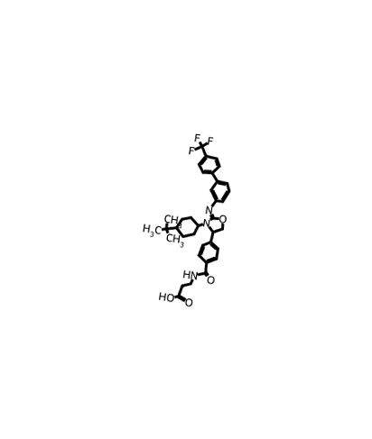 CC(C)(C)C1CCC(N2/C(=N/c3cccc(-c4ccc(C(F)(F)F)cc4)c3)OCC2c2ccc(C(=O)NCCC(=O)O)cc2)CC1